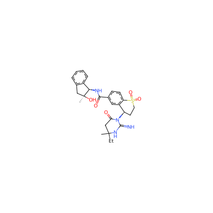 CCC1(C)CC(=O)N([C@@H]2CCS(=O)(=O)c3ccc(C(=O)N[C@@H]4c5ccccc5C[C@]4(C)O)cc32)C(=N)N1